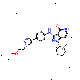 COCCn1cc(-c2ccc(Nc3nn([C@H]4CCCC[C@@H]4C)c4cc[nH]c(=O)c34)cc2)cn1